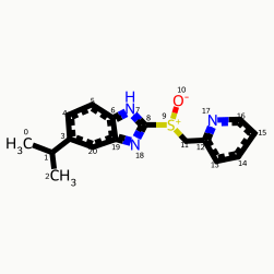 CC(C)c1ccc2[nH]c([S+]([O-])Cc3ccccn3)nc2c1